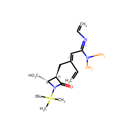 C=C/N=C(\C=C(/C=C)C[C@H]1C(=O)N(S(C)(C)C(C)(C)C)[C@@H]1C(=O)O)N(P)P